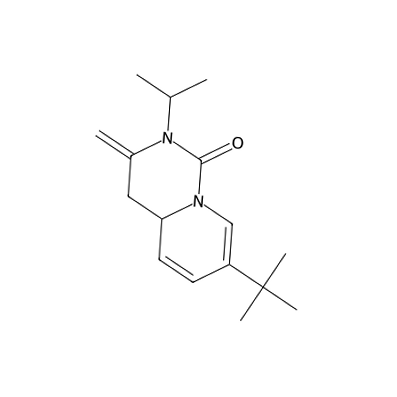 C=C1CC2C=CC(C(C)(C)C)=CN2C(=O)N1C(C)C